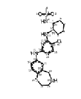 CS(=O)(=O)N[C@@H]1CCCC[C@H]1Nc1nc(Nc2ccc3c(c2)CNCCS3)ncc1Cl